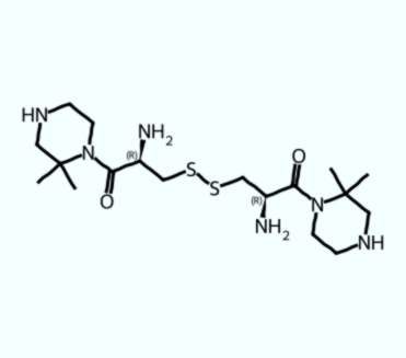 CC1(C)CNCCN1C(=O)[C@@H](N)CSSC[C@H](N)C(=O)N1CCNCC1(C)C